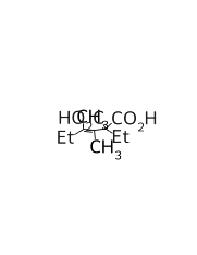 CC/C(C)=C(\C)C(CC)(C(=O)O)C(=O)O